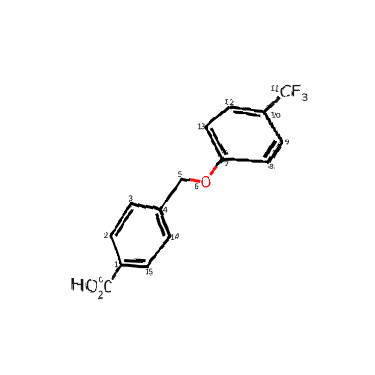 O=C(O)c1ccc(COc2ccc(C(F)(F)F)cc2)cc1